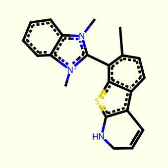 Cc1ccc2c3c(sc2c1-c1n(C)c2ccccc2[n+]1C)NCC=C3